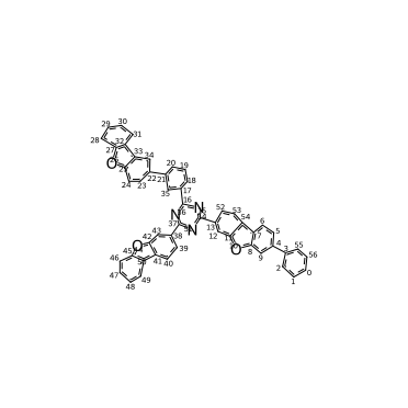 c1ccc(-c2ccc3c(c2)oc2cc(-c4nc(-c5cccc(-c6ccc7oc8ccccc8c7c6)c5)nc(-c5ccc6c(c5)oc5ccccc56)n4)ccc23)cc1